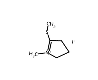 CSC1=[N+](C)CCC1.[I-]